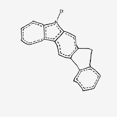 CCn1c2ccccc2c2cc3c(cc21)Cc1ccccc1-3